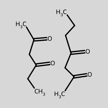 CCC(=O)CC(C)=O.CCCC(=O)CC(C)=O